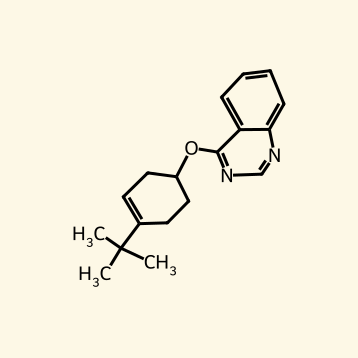 CC(C)(C)C1=CCC(Oc2ncnc3ccccc23)CC1